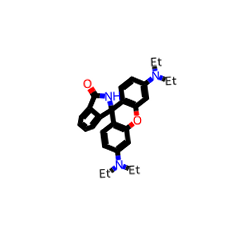 CCN(CC)c1ccc2c(c1)Oc1cc(N(CC)CC)ccc1C21NC(=O)c2ccccc21